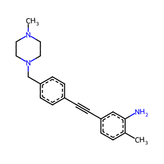 Cc1ccc(C#Cc2ccc(CN3CCN(C)CC3)cc2)cc1N